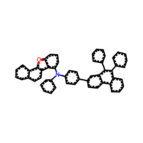 c1ccc(-c2c(-c3ccccc3)c3cc(-c4ccc(N(c5ccccc5)c5cccc6oc7c8ccccc8ccc7c56)cc4)ccc3c3ccccc23)cc1